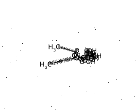 CC#CC#CC#CC#CC(=O)OC[C@H](COP(=O)(O)OC1C[C@@H](OP(=O)(O)O)C(OP(=O)(O)O)[C@H](O)C1O)OC(=O)CCCCCCCCCCCCCCC